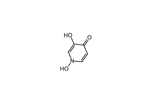 O=c1c[c]n(O)cc1O